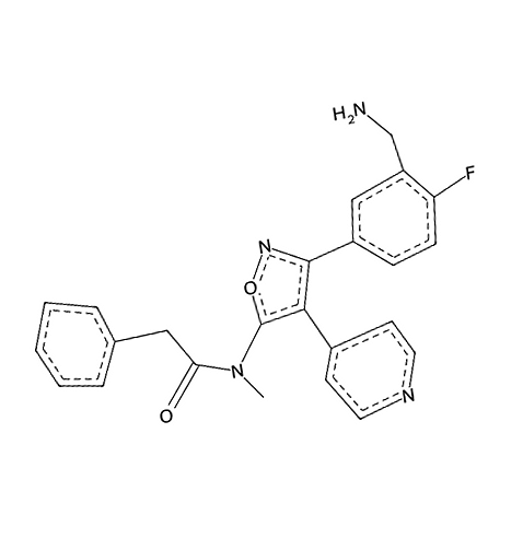 CN(C(=O)Cc1ccccc1)c1onc(-c2ccc(F)c(CN)c2)c1-c1ccncc1